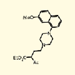 CCOC(=O)C(CCN1CCN(c2cccc3ccc(OC)cc23)CC1)C(C)=O